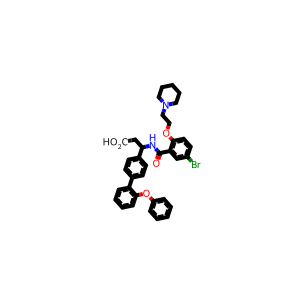 O=C(O)CC(NC(=O)c1cc(Br)ccc1OCCN1CCCCC1)c1ccc(-c2ccccc2Oc2ccccc2)cc1